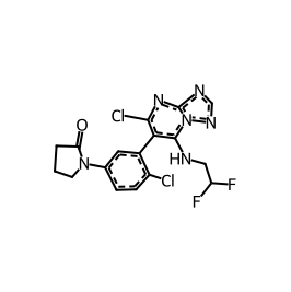 O=C1CCCN1c1ccc(Cl)c(-c2c(Cl)nc3ncnn3c2NCC(F)F)c1